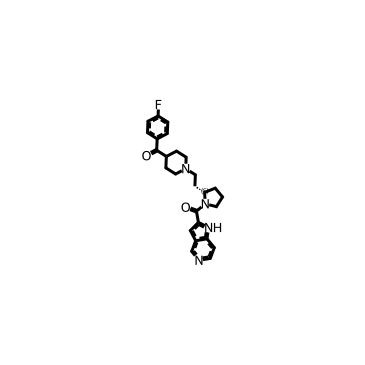 O=C(c1ccc(F)cc1)C1CCN(CC[C@@H]2CCCN2C(=O)c2cc3cnccc3[nH]2)CC1